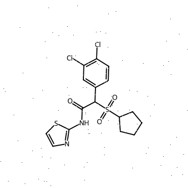 O=C(Nc1nccs1)C(c1ccc(Cl)c(Cl)c1)S(=O)(=O)C1CCCC1